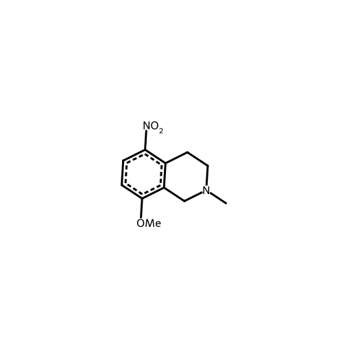 COc1ccc([N+](=O)[O-])c2c1CN(C)CC2